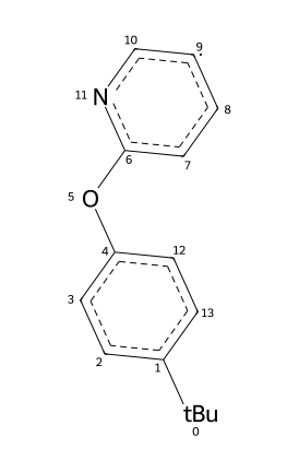 CC(C)(C)c1ccc(Oc2cc[c]cn2)cc1